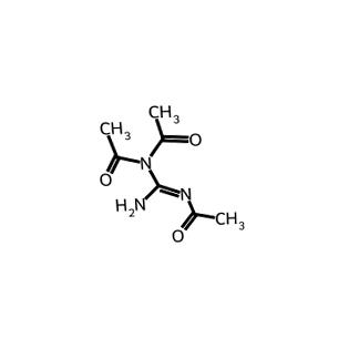 CC(=O)N=C(N)N(C(C)=O)C(C)=O